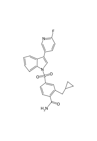 NC(=O)c1ccc(S(=O)(=O)n2cc(-c3ccc(F)nc3)c3ccccc32)cc1CC1CC1